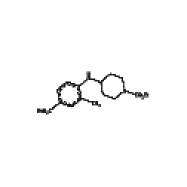 CCOC(=O)c1ccc(NC2CCN(C(=O)OCC)CC2)c(C)c1